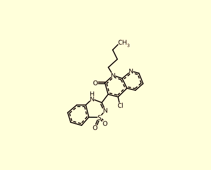 CCCCn1c(=O)c(C2=NS(=O)(=O)c3ccccc3N2)c(Cl)c2cccnc21